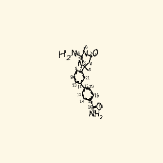 CN1C(=O)CC(C)(c2cccc(-c3ccc(C(N)=O)cc3)c2)N=C1N